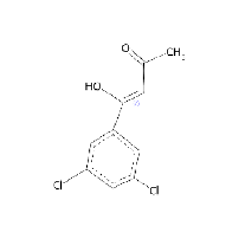 CC(=O)/C=C(\O)c1cc(Cl)cc(Cl)c1